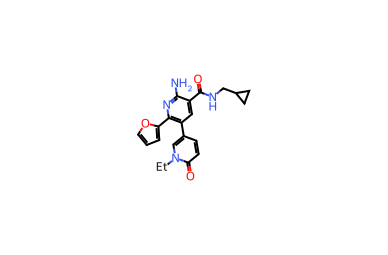 CCn1cc(-c2cc(C(=O)NCC3CC3)c(N)nc2-c2ccco2)ccc1=O